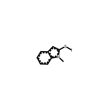 Cn1c(SI)cc2ccccc21